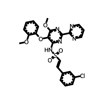 COc1ccccc1Oc1c(NS(=O)(=O)/C=C/c2cccc(Cl)c2)nc(-c2ncccn2)nc1OC